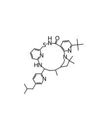 CC(C)Cc1ccc(C2CC(C)C3CN(c4nc(C(C)(C)C)ccc4C(=O)NSc4cccc(n4)N2)C(C)(C)C3)nc1